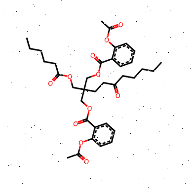 CCCCCC(=O)CCC(COC(=O)CCCCC)(COC(=O)c1ccccc1OC(C)=O)COC(=O)c1ccccc1OC(C)=O